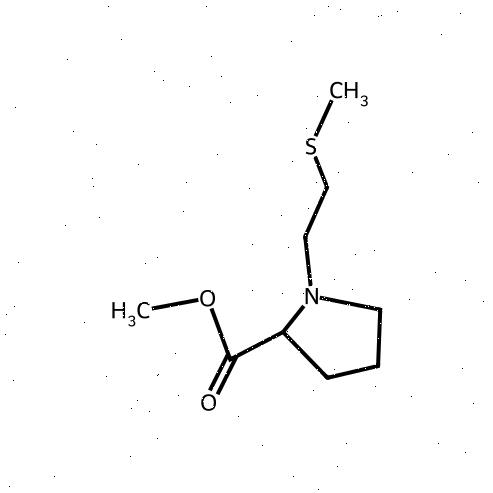 COC(=O)C1CCCN1CCSC